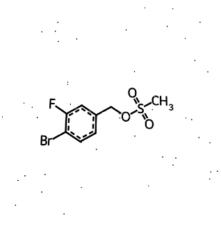 CS(=O)(=O)OCc1ccc(Br)c(F)c1